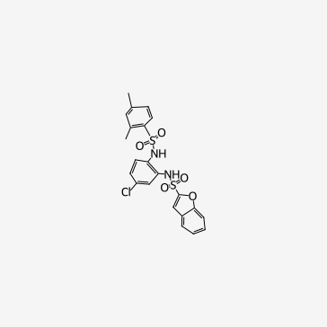 Cc1ccc(S(=O)(=O)Nc2ccc(Cl)cc2NS(=O)(=O)c2cc3ccccc3o2)c(C)c1